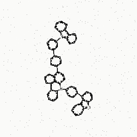 c1ccc(-c2ccccc2N(c2ccc(-c3ccc(-c4cccc(-n5c6ccccc6c6ccccc65)c4)cc3)cc2)c2ccc(-c3cccc4oc5ccccc5c34)cc2)cc1